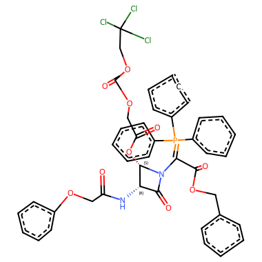 O=C(COc1ccccc1)N[C@H]1C(=O)N(C(C(=O)OCc2ccccc2)=P(c2ccccc2)(c2ccccc2)c2ccccc2)[C@H]1OC(=O)COC(=O)OCC(Cl)(Cl)Cl